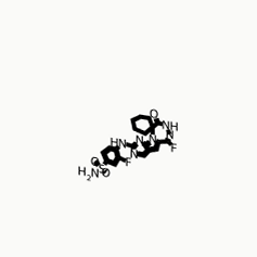 NS(=O)(=O)c1ccc(Nc2ncc3cc4n(c3n2)C2(CCCCC2)C(=O)NN=C4F)c(F)c1